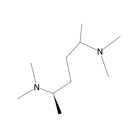 CC(CC[C@@H](C)N(C)C)N(C)C